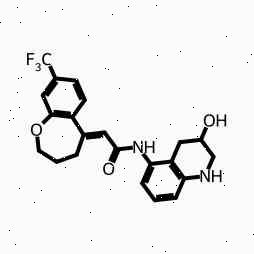 O=C(C=C1CCCOc2cc(C(F)(F)F)ccc21)Nc1cccc2c1CC(O)CN2